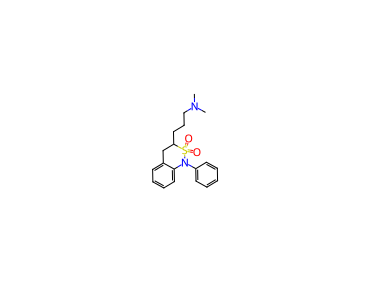 CN(C)CCCC1Cc2ccccc2N(c2ccccc2)S1(=O)=O